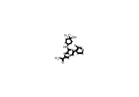 CC1(O)CCC(Nc2nc(-c3ccncc3F)cn3cc(C(N)=O)nc23)CC1